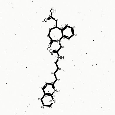 O=C(O)CC1CCC(=O)N(CC(=O)NCCCCc2ccc3c(n2)NCCC3)c2ccccc21